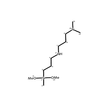 CO[Si](C)(CCCNCCCN(C)C)OC